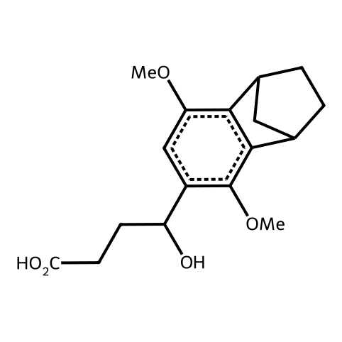 COc1cc(C(O)CCC(=O)O)c(OC)c2c1C1CCC2C1